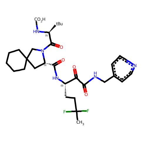 CC(F)(F)CC[C@H](NC(=O)[C@@H]1CC2(CCCCC2)CN1C(=O)[C@@H](NC(=O)O)C(C)(C)C)C(=O)C(=O)NCc1ccncc1